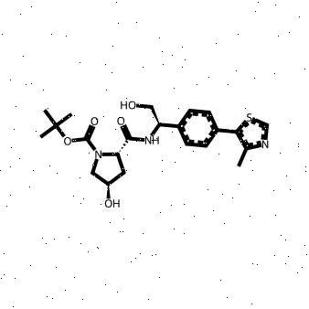 Cc1ncsc1-c1ccc([C@H](CO)NC(=O)[C@@H]2C[C@@H](O)CN2C(=O)OC(C)(C)C)cc1